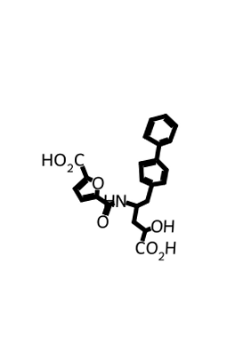 O=C(O)c1ccc(C(=O)NC(Cc2ccc(-c3ccccc3)cc2)CC(O)C(=O)O)o1